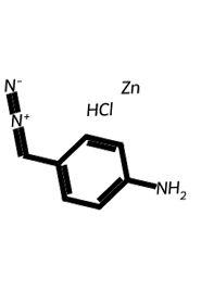 Cl.[N-]=[N+]=Cc1ccc(N)cc1.[Zn]